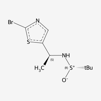 C[C@H](N[S@@+]([O-])C(C)(C)C)c1cnc(Br)s1